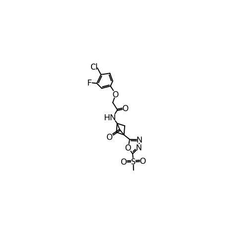 CS(=O)(=O)c1nnc(C23CC(NC(=O)COc4ccc(Cl)c(F)c4)(C2)C3=O)o1